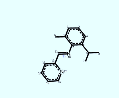 Cc1cccc(C(C)C)c1/N=C/c1ccccn1